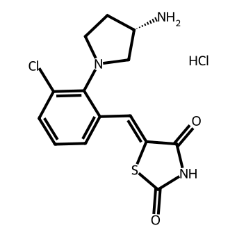 Cl.N[C@H]1CCN(c2c(Cl)cccc2/C=C2\SC(=O)NC2=O)C1